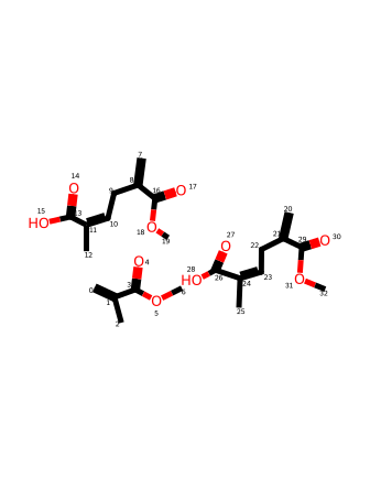 C=C(C)C(=O)OC.C=C(CC=C(C)C(=O)O)C(=O)OC.C=C(CC=C(C)C(=O)O)C(=O)OC